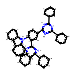 c1ccc(-c2nc(-c3ccccc3)nc(-c3ccc(-n4c5ccccc5c5ccccc54)c(-c4nc(-c5ccccc5)c5ccccc5n4)c3)n2)cc1